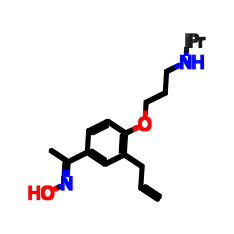 C=CCc1cc(C(C)=NO)ccc1OCCCNC(C)C